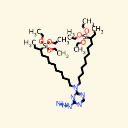 CCO[Si](OCC)(OCC)C(CC)CCCCCCCCCN(CCCCCCCCCC(CC)[Si](OCC)(OCC)OCC)c1ncnc(N=[N+]=[N-])n1